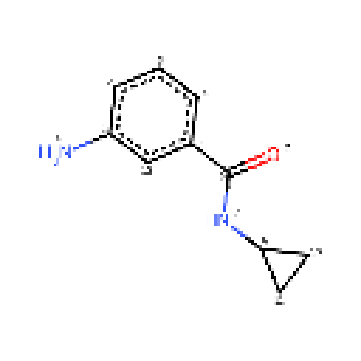 Nc1cccc(C(=O)NC2CC2)c1